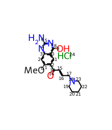 COc1cc2nc(N)nc(O)c2cc1C(=O)C=CCN1CCCCC1.Cl